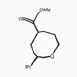 COC(=O)C1CCOC(C(C)C)C1